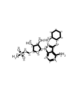 Nc1ncnc2c1c(S[C@H]1CCCC[C@@H]1O)nn2[C@@H]1O[C@H](COS(N)(=O)=O)[C@@H](O)[C@H]1O